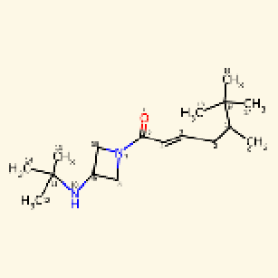 CC(C/C=C/C(=O)N1CC(NC(C)(C)C)C1)C(C)(C)C